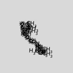 CCCN(Cc1nc(-c2ccc3cc(-c4ccc(-c5cnc([C@@H]6C[C@@H](Cc7ccccc7)CN6C(=O)[C@@H](NC(=O)OC)C(C)C)[nH]5)cc4)ccc3c2)c[nH]1)C(=O)[C@@H](NC(=O)OC)C(C)C